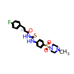 CN1CCN(S(=O)(=O)c2ccc(NC(=S)NC(=O)/C=C/c3ccc(F)cc3)cc2)CC1